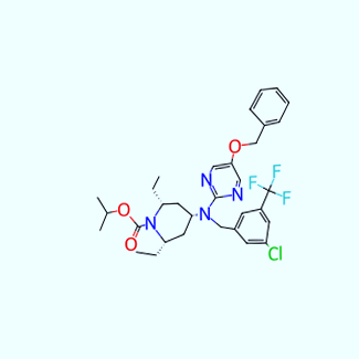 CC[C@@H]1C[C@H](N(Cc2cc(Cl)cc(C(F)(F)F)c2)c2ncc(OCc3ccccc3)cn2)C[C@H](CC)N1C(=O)OC(C)C